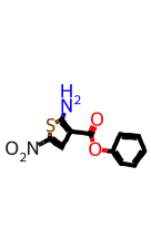 Nc1sc([N+](=O)[O-])cc1C(=O)Oc1ccccc1